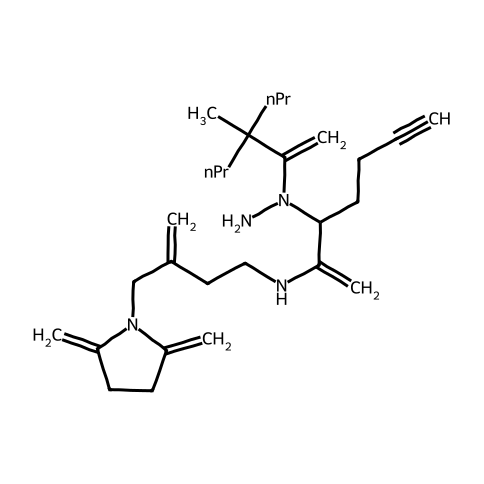 C#CCCC(C(=C)NCCC(=C)CN1C(=C)CCC1=C)N(N)C(=C)C(C)(CCC)CCC